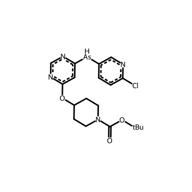 CC(C)(C)OC(=O)N1CCC(Oc2cc([AsH]c3ccc(Cl)nc3)ncn2)CC1